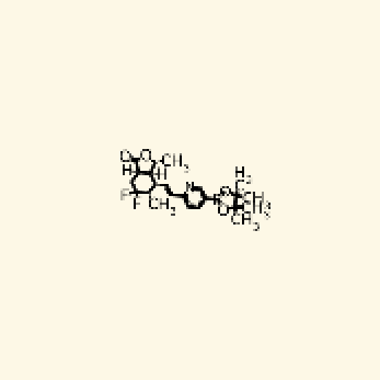 C[C@H]1OC(=O)[C@@H]2CC(F)(F)[C@@H](C)[C@H](/C=C/c3ccc(B4OC(C)(C)C(C)(C)O4)cn3)[C@H]12